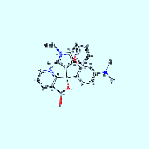 CCCCCCCn1c(C)c(C2(c3ccc(N(CC)CC)cc3OCC)OC(=O)c3cccnc32)c2ccccc21